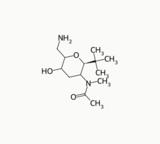 CC(=O)N(C)C1CC(O)C(CN)O[C@H]1C(C)(C)C